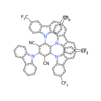 N#Cc1c(-n2c3ccccc3c3ccccc32)c(C#N)c(-n2c3ccc(C(F)(F)F)cc3c3cc(C(F)(F)F)ccc32)c(-n2c3ccc(C(F)(F)F)cc3c3cc(C(F)(F)F)ccc32)c1-n1c2ccc(C(F)(F)F)cc2c2cc(C(F)(F)F)ccc21